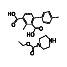 CCOC(=O)N1CCNCC1.Cc1ccc(-c2ccc(C(=O)O)c(C)c2C(=O)O)cc1